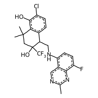 Cc1ncc2c(NCC3c4ccc(Cl)c(O)c4C(C)(C)CC3(O)C(F)(F)F)ccc(F)c2n1